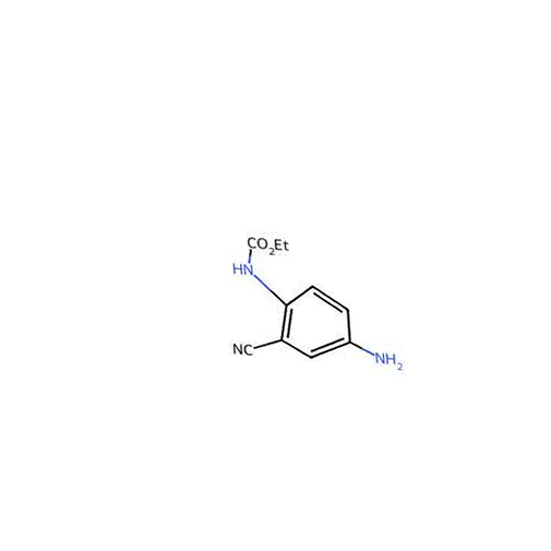 CCOC(=O)Nc1ccc(N)cc1C#N